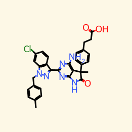 Cc1ccc(Cn2nc(-c3nc(N)c4c(n3)NC(=O)C4(C)c3ccc(CCC(=O)O)cc3)c3ccc(Cl)cc32)cc1